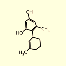 CC1=CC(c2c(C)cc(O)cc2O)CCC1